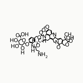 CCCCc1c2c(nc3cc4c(c(NC(=O)OCc5ccc(O[C@@H]6O[C@H](C(=O)O)[C@@H](O)[C@H](O)[C@H]6O)c(NC(=O)CCN)c5)c13)OCO4)-c1cc3c(c(=O)n1C2)COC(=O)[C@]3(O)CC